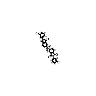 O=C1c2ccc(S(=O)(=O)c3ccc4c(c3)C(=O)N(c3cccc(Cl)c3)C4=O)cc2C(=O)N1c1cccc(Cl)c1